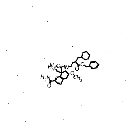 CCC1(CC)c2cc(C(N)=O)ccc2C[C@@H](OC)[C@H]1NCCC(CC1CCCCC1)C(=O)OCc1ccccc1